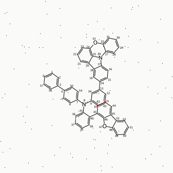 c1ccc(-c2ccc(N(c3cccc(-c4ccc5c(c4)c4cccc6c4n5-c4ccccc4O6)c3)c3ccccc3-c3cccc4c3oc3ccccc34)cc2)cc1